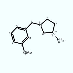 COc1cccc(CN2CC[C@H](N)C2)c1